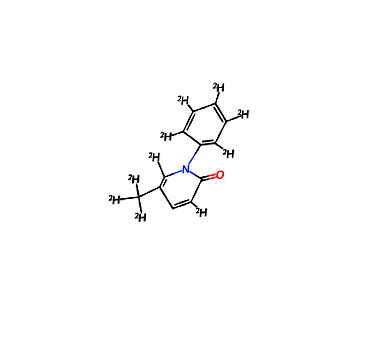 [2H]c1c([2H])c([2H])c(-n2c([2H])c(C([2H])([2H])[2H])cc([2H])c2=O)c([2H])c1[2H]